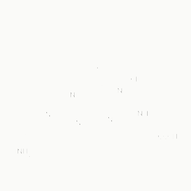 Cn1c(NCC(=O)O)nc2nc(N3CCCC(N)C3)n(Cc3ccccc3)c2c1=O